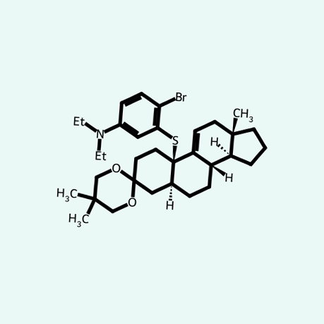 CCN(CC)c1ccc(Br)c(S[C@]23CCC4(C[C@@H]2CC[C@@H]2C3=CC[C@]3(C)CCC[C@@H]23)OCC(C)(C)CO4)c1